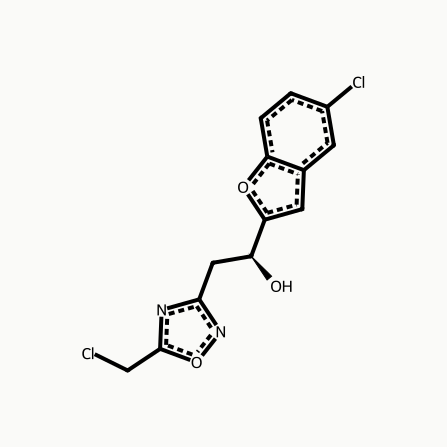 O[C@@H](Cc1noc(CCl)n1)c1cc2cc(Cl)ccc2o1